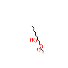 CCCCCCC(O)CCOC(=O)CC